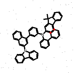 CC1(C)c2ccccc2-c2ccc(N(c3cccc(-c4cc(-n5c6ccccc6c6ccccc65)cc5ccccc45)c3)c3ccccc3-c3ccccc3)cc21